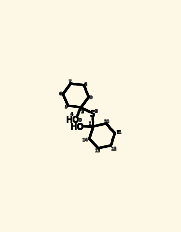 OC1(SC2(O)CCCCC2)CCCCC1